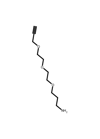 C#CCOCCOCCOCCCN